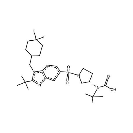 CC(C)(C)c1nc2cc(S(=O)(=O)N3CC[C@H](N(C(=O)O)C(C)(C)C)C3)ccc2n1CC1CCC(F)(F)CC1